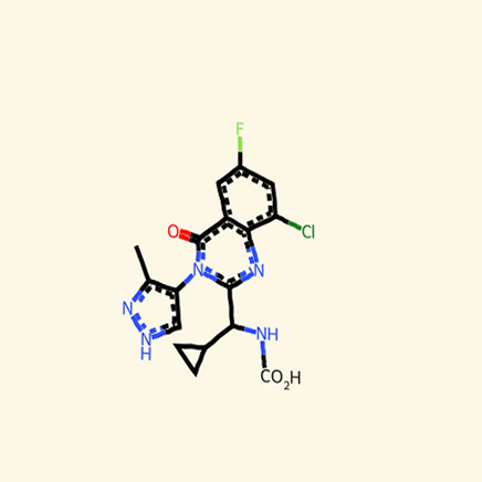 Cc1n[nH]cc1-n1c(C(NC(=O)O)C2CC2)nc2c(Cl)cc(F)cc2c1=O